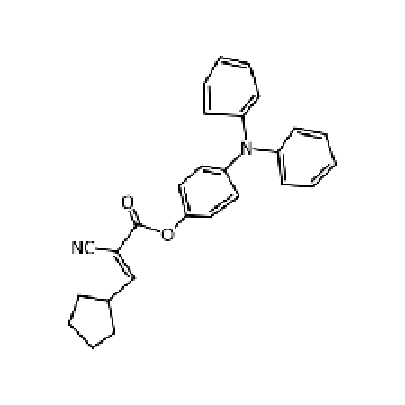 N#CC(=CC1CCCC1)C(=O)Oc1ccc(N(c2ccccc2)c2ccccc2)cc1